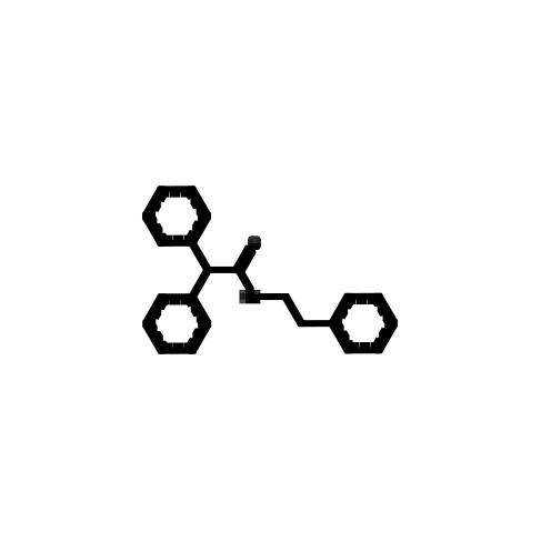 O=C(NCCc1ccccc1)C(c1ccccc1)c1ccccc1